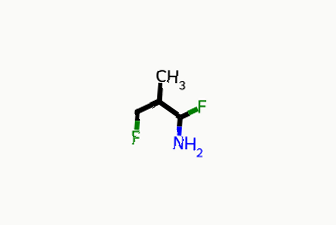 CC(CF)C(N)F